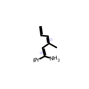 C=C/C=C(C)\C=C(/N)C(C)C